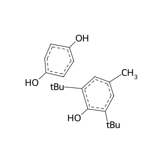 Cc1cc(C(C)(C)C)c(O)c(C(C)(C)C)c1.Oc1ccc(O)cc1